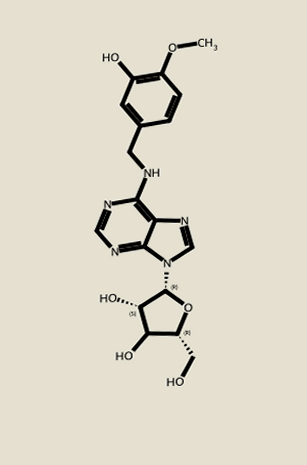 COc1ccc(CNc2ncnc3c2ncn3[C@@H]2O[C@H](CO)C(O)[C@@H]2O)cc1O